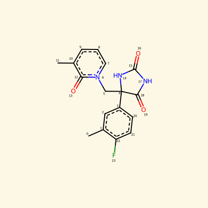 Cc1cc(C2(Cn3cccc(C)c3=O)NC(=O)NC2=O)ccc1F